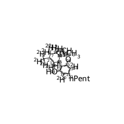 [2H]C1=C(C([2H])([2H])[2H])C([2H])([2H])C([2H])([2H])[C@]2([2H])[C@@H]1c1c(O)c([2H])c(CCCCC)c([2H])c1OC2(C)C